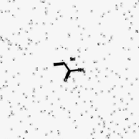 C=CC(N)=O.[Sn]